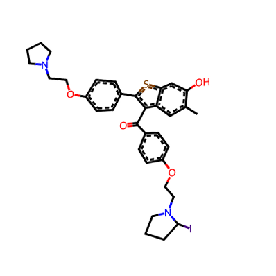 Cc1cc2c(C(=O)c3ccc(OCCN4CCCC4I)cc3)c(-c3ccc(OCCN4CCCC4)cc3)sc2cc1O